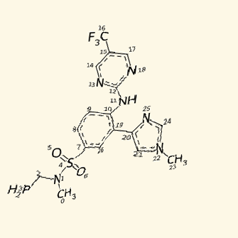 CN(CP)S(=O)(=O)c1ccc(Nc2ncc(C(F)(F)F)cn2)c(-c2cn(C)cn2)c1